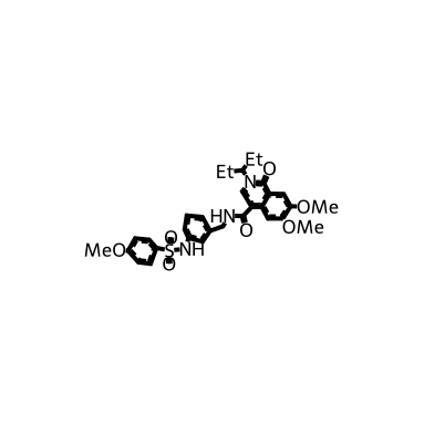 CCC(CC)n1cc(C(=O)NCc2cccc(NS(=O)(=O)c3ccc(OC)cc3)c2)c2cc(OC)c(OC)cc2c1=O